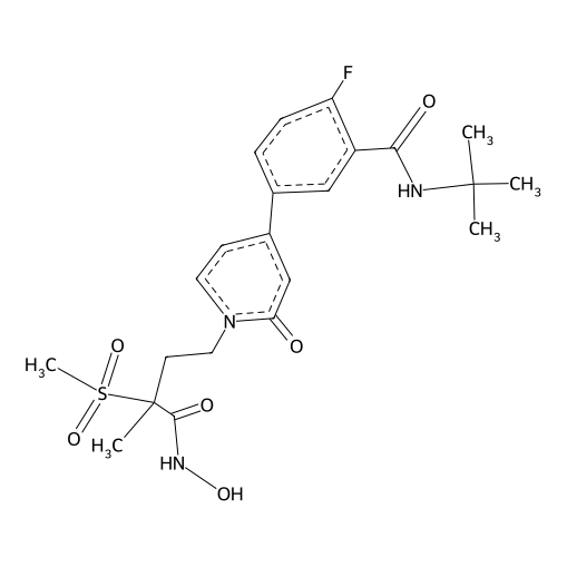 CC(C)(C)NC(=O)c1cc(-c2ccn(CCC(C)(C(=O)NO)S(C)(=O)=O)c(=O)c2)ccc1F